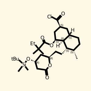 CCC(C)(C)C(=O)O[C@H]1C[C@@H](C(=O)Cl)C[C@@H]2CC[C@H](C)[C@H](CC[C@@H]3C[C@@H](O[Si](C)(C)C(C)(C)C)CC(=O)O3)[C@H]21